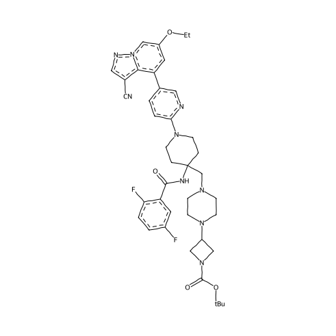 CCOc1cc(-c2ccc(N3CCC(CN4CCN(C5CN(C(=O)OC(C)(C)C)C5)CC4)(NC(=O)c4cc(F)ccc4F)CC3)nc2)c2c(C#N)cnn2c1